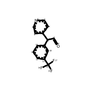 O=CC(c1ccncc1)c1cccc(C(F)(F)F)c1